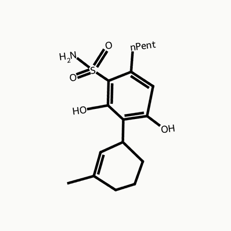 CCCCCc1cc(O)c(C2C=C(C)CCC2)c(O)c1S(N)(=O)=O